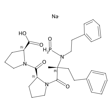 C[C@@](CCc1ccccc1)(C(=O)N1CCC[C@H]1C(=O)N1CCC[C@H]1C(=O)O)N(CCc1ccccc1)[PH2]=O.[Na]